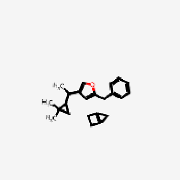 C1CC2=C1C2.CC(c1coc(Cc2ccccc2)c1)C1CC1(C)C